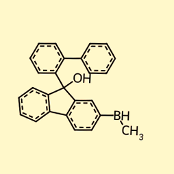 CBc1ccc2c(c1)C(O)(c1ccccc1-c1ccccc1)c1ccccc1-2